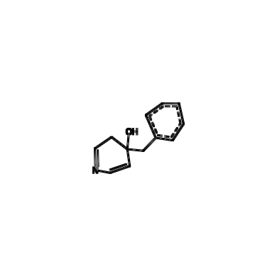 OC1(Cc2ccccc2)C=CN=CC1